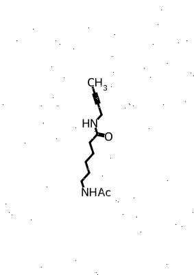 CC#CCNC(=O)CCCCCNC(C)=O